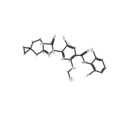 O=C(Nc1c(F)cccc1Cl)c1cc(F)c(-n2nc3n(c2=O)CCC2(CC2)C3)nc1OCC(F)(F)F